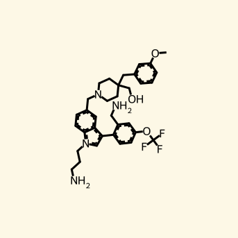 COc1cccc(CC2(CO)CCN(Cc3ccc4c(c3)c(-c3ccc(OC(F)(F)F)cc3CN)cn4CCCN)CC2)c1